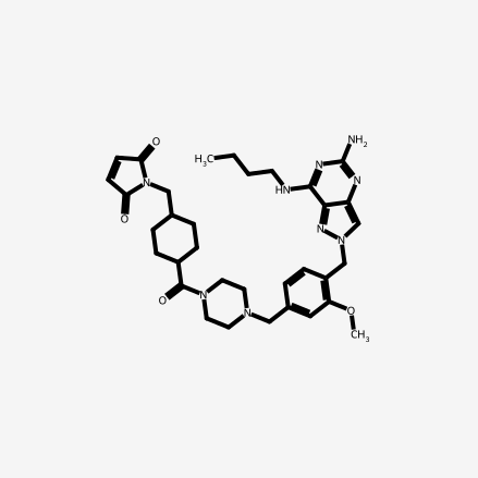 CCCCNc1nc(N)nc2cn(Cc3ccc(CN4CCN(C(=O)C5CCC(CN6C(=O)C=CC6=O)CC5)CC4)cc3OC)nc12